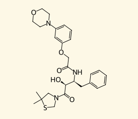 CC1(C)CN(C(=O)[C@@H](O)[C@H](Cc2ccccc2)NC(=O)COc2cccc(N3CCOCC3)c2)CS1